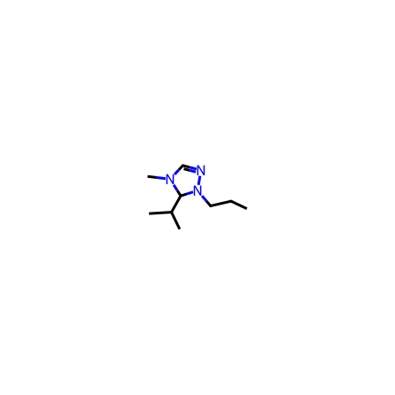 CCCN1N=CN(C)C1C(C)C